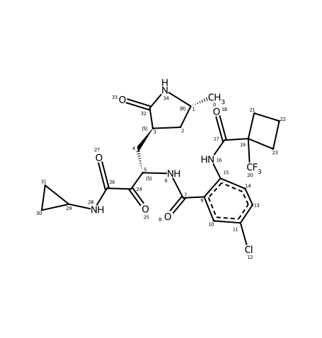 C[C@@H]1C[C@@H](C[C@H](NC(=O)c2cc(Cl)ccc2NC(=O)C2(C(F)(F)F)CCC2)C(=O)C(=O)NC2CC2)C(=O)N1